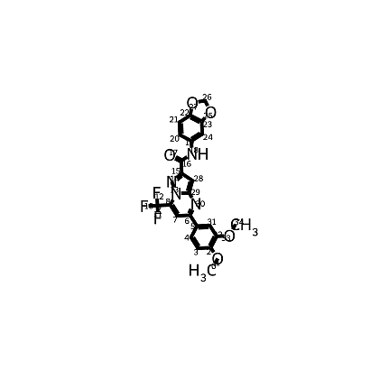 COc1ccc(-c2cc(C(F)(F)F)n3nc(C(=O)Nc4ccc5c(c4)OCO5)cc3n2)cc1OC